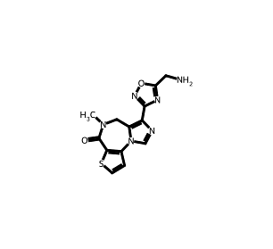 CN1Cc2c(-c3noc(CN)n3)ncn2-c2ccsc2C1=O